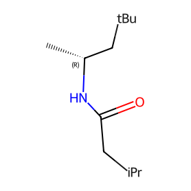 CC(C)CC(=O)N[C@H](C)CC(C)(C)C